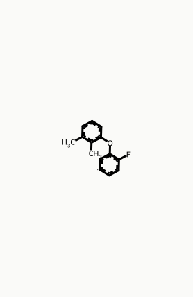 Cc1cccc(Oc2c[c]ccc2F)c1C